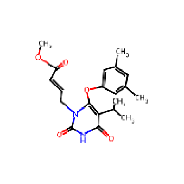 COC(=O)C=CCn1c(Oc2cc(C)cc(C)c2)c(C(C)C)c(=O)[nH]c1=O